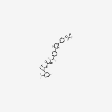 Cc1ccc(C(C)C)c(N2CCS/C2=N\C(=O)NC(F)C(F)c2ccc(-c3ncn(-c4ccc(OC(F)(F)F)cc4)n3)cc2)c1